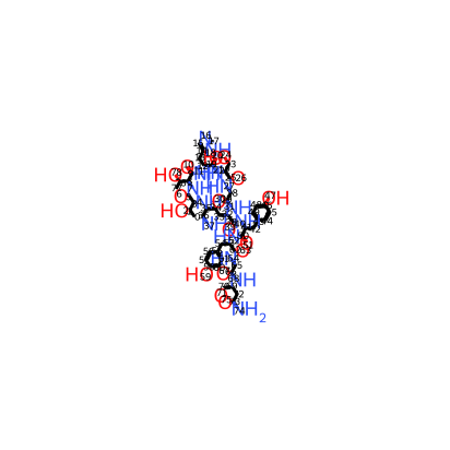 CC(O)C(N)C(=O)NC(C(=O)NC(Cc1cnc[nH]1)C(=O)NC(CO)C(=O)NCC(=O)NC(CCCCN)C(=O)NC(Cc1ccc(O)cc1)C(=O)NC(Cc1ccc(O)cc1)C(=O)NCC(=O)NC(C=O)CC(N)=O)C(C)O